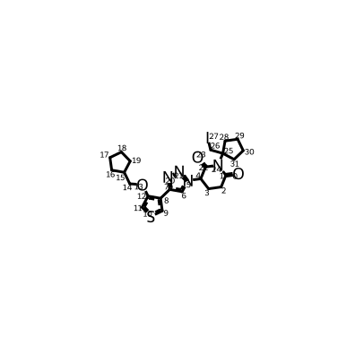 O=C1CCC(n2cc(-c3cscc3OCC3CCCC3)nn2)C(=O)N1C1(CI)CCCC1